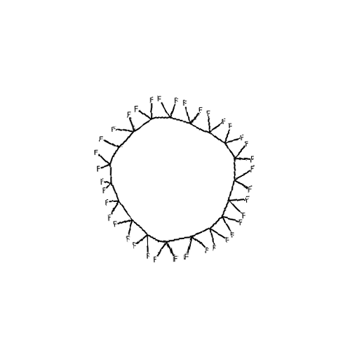 F[C]1C(F)(F)C(F)(F)C(F)(F)C(F)(F)C(F)(F)C(F)(F)C(F)(F)C(F)(F)C(F)(F)C(F)(F)C(F)(F)C(F)(F)C(F)(F)C(F)(F)C(F)(F)C(F)(F)C(F)(F)C1(F)F